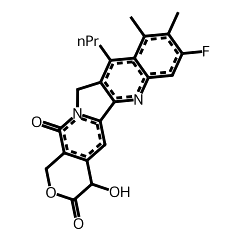 CCCc1c2c(nc3cc(F)c(C)c(C)c13)-c1cc3c(c(=O)n1C2)COC(=O)C3O